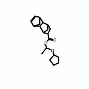 CC(OC(=O)C1CC2CC1C1C3C=CC(C3)C21)OC1CCCC1